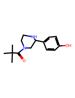 CC(C)(C)C(=O)N1CCNC(c2ccc(O)cc2)C1